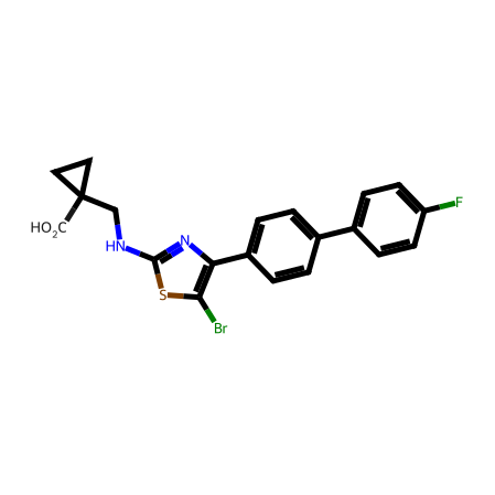 O=C(O)C1(CNc2nc(-c3ccc(-c4ccc(F)cc4)cc3)c(Br)s2)CC1